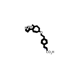 CC1=C(c2ccn[nH]2)C=CC(OCCc2ccc(/C=C/C(=O)O)cc2)CC1